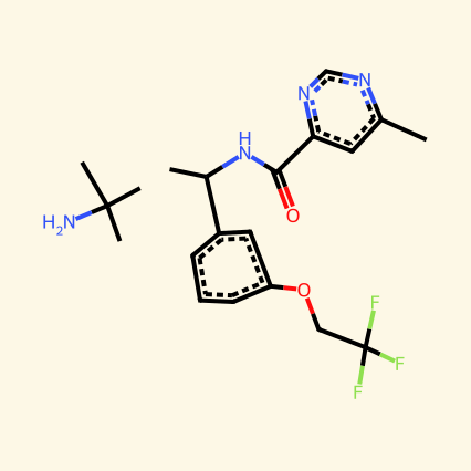 CC(C)(C)N.Cc1cc(C(=O)NC(C)c2cccc(OCC(F)(F)F)c2)ncn1